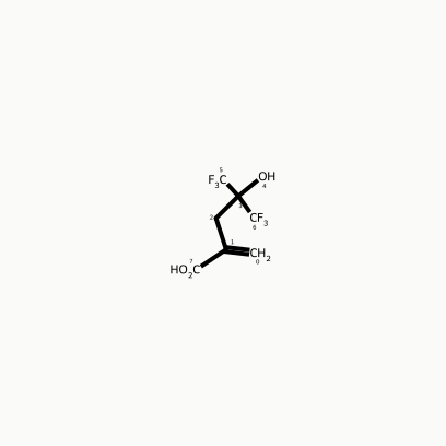 C=C(CC(O)(C(F)(F)F)C(F)(F)F)C(=O)O